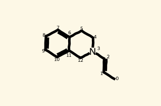 CC=CN1CCc2ccccc2C1